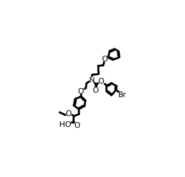 CCOC(Cc1ccc(OCCN(CCCCOc2ccccc2)C(=O)Oc2ccc(Br)cc2)cc1)C(=O)O